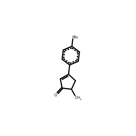 CC1CC(c2ccc(C(C)(C)C)cc2)=CC1=O